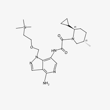 C[C@H]1CC[C@H](C2CC2)N(C(=O)C(=O)Nc2cnc(N)c3cnn(COCC[Si](C)(C)C)c23)C1